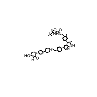 Cc1cc(C2c3cc(-c4ccc(CCN5CCC(c6ccc([C@H]7CCC(O)NC7=O)cc6)CC5)cc4)cnc3NN2C)ccc1CNC(=O)c1nc(C(C)(C)C)no1